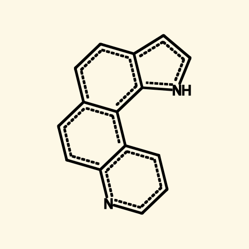 c1cnc2ccc3ccc4cc[nH]c4c3c2c1